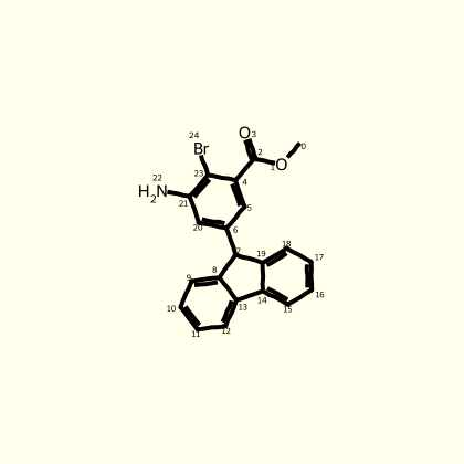 COC(=O)c1cc(C2c3ccccc3-c3ccccc32)cc(N)c1Br